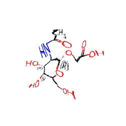 CC(=O)NC1[C@H](OCC(=O)O)OC(CO)[C@@H](O)[C@@H]1O